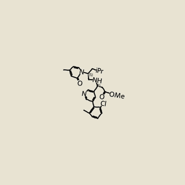 COC(=O)C[C@H](NC[C@H](CC(C)C)n1ccc(C)cc1=O)c1cncc(-c2c(C)cccc2Cl)c1